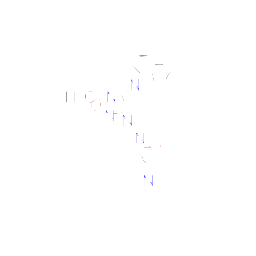 COc1nc2c(c(N3CCN(C(=O)/C=C/CN4CCCCC4)CC3)n1)CCN(c1cccc3ccccc13)C2